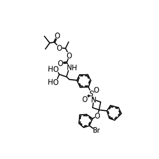 CC(OC(=O)NC(Cc1cccc(S(=O)(=O)N2CC(Oc3ccccc3Br)(c3ccccc3)C2)c1)C(O)O)OC(=O)C(C)C